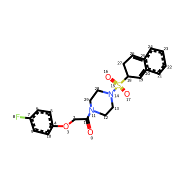 O=C(COc1ccc(F)cc1)N1CCN(S(=O)(=O)C2C=c3ccccc3=CC2)CC1